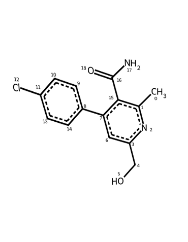 Cc1nc(CO)cc(-c2ccc(Cl)cc2)c1C(N)=O